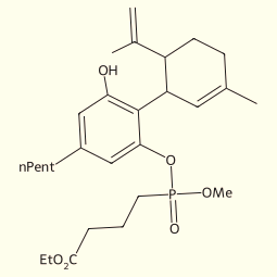 C=C(C)C1CCC(C)=CC1c1c(O)cc(CCCCC)cc1OP(=O)(CCCC(=O)OCC)OC